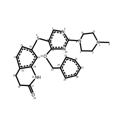 CN1CCN(c2ncc(Sc3ccc4c(c3)NC(=O)CC4)c(OCc3ccccc3)n2)CC1